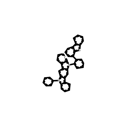 c1ccc(-n2c3ccccc3c3cc4c(cc32)c2ccccc2n4-c2ccccc2-c2cccc3c2sc2ccccc23)cc1